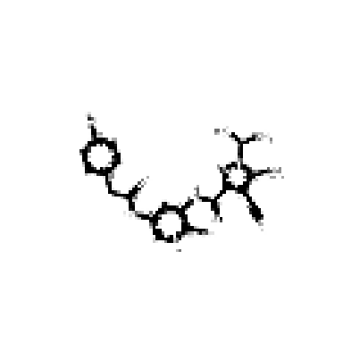 CC(C)n1nc(C(=O)Nc2cc(NC(=O)Cc3ccc(Cl)cc3)cnc2F)c(C#N)c1N